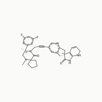 CN1C[C@@](C)(c2cc(F)cc(F)c2)N(CC#Cc2cnc3c(c2)C[C@@]2(C3)C(=O)NC3=C2C=CCN3)C(=O)C12CCCC2